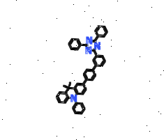 CC1(C)c2ccccc2N(c2ccccc2)c2ccc(-c3ccc(-c4cccc(-c5nc(-c6ccccc6)nc(-c6ccccc6)n5)c4)cc3)cc21